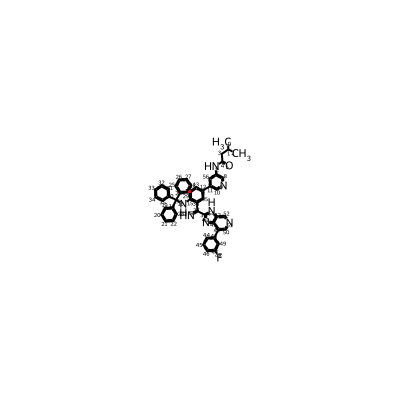 CC(C)CC(=O)Nc1cncc(-c2ccc(NC(c3ccccc3)(c3ccccc3)c3ccccc3)c(C(=N)c3nc4c(-c5cccc(F)c5)cncc4[nH]3)c2)c1